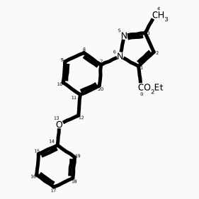 CCOC(=O)c1cc(C)nn1-c1cccc(COc2ccccc2)c1